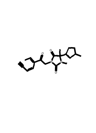 C#C/C=C\C(=C/C)C(=O)CN1C(=O)N(C)C(C)(C2CCC(C)C2)C1=O